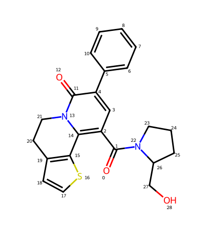 O=C(c1cc(-c2ccccc2)c(=O)n2c1-c1sccc1CC2)N1CCCC1CO